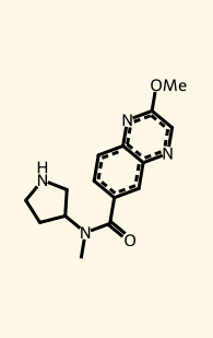 COc1cnc2cc(C(=O)N(C)C3CCNC3)ccc2n1